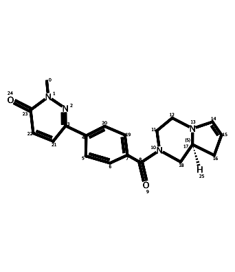 Cn1nc(-c2ccc(C(=O)N3CCN4C=CC[C@H]4C3)cc2)ccc1=O